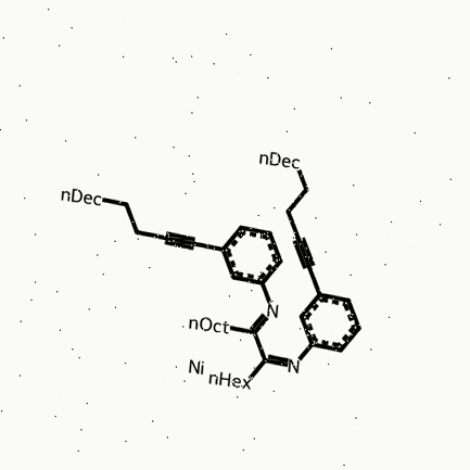 CCCCCCCCCCCCC#Cc1cccc(N=C(CCCCCC)C(CCCCCCCC)=Nc2cccc(C#CCCCCCCCCCCCC)c2)c1.[Ni]